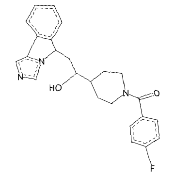 O=C(c1ccc(F)cc1)N1CCC(C(O)CC2c3ccccc3-c3cncn32)CC1